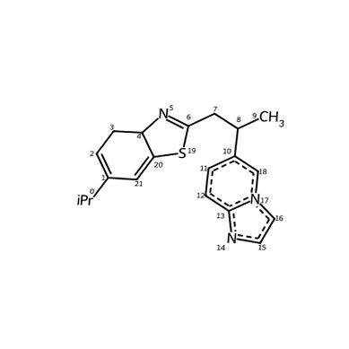 CC(C)C1=CCC2N=C(CC(C)c3ccc4nccn4c3)SC2=C1